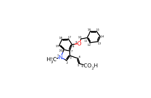 Cn1cc(C=CC(=O)O)c2c(OCc3ccccc3)cccc21